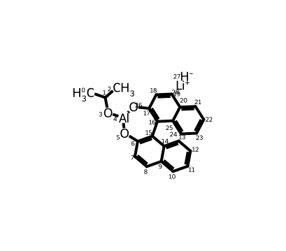 CC(C)[O][Al]1[O]c2ccc3ccccc3c2-c2c(ccc3ccccc23)[O]1.[H-].[Li+]